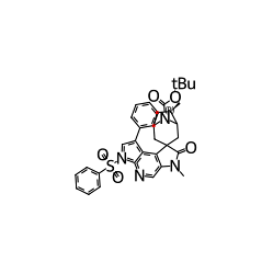 C[C@@H]1CC2CC3(CC1N2C(=O)OC(C)(C)C)C(=O)N(C)c1cnc2c(c(-c4ccccc4)cn2S(=O)(=O)c2ccccc2)c13